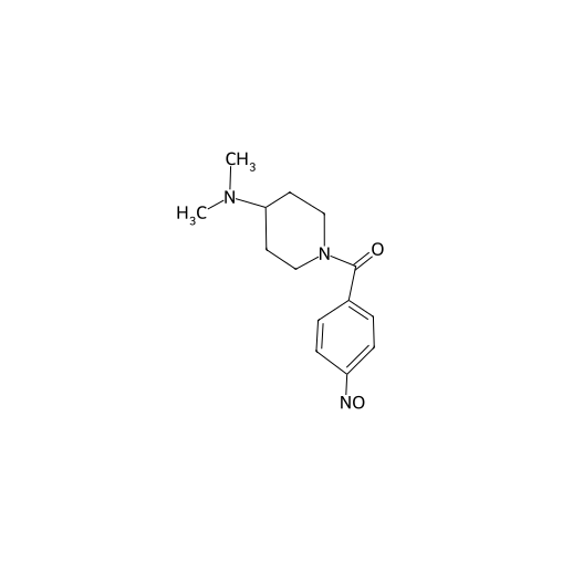 CN(C)C1CCN(C(=O)c2ccc(N=O)cc2)CC1